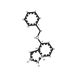 c1ccc(COc2cccn3nncc23)cc1